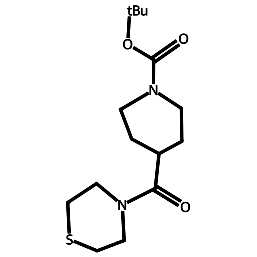 CC(C)(C)OC(=O)N1CCC(C(=O)N2CCSCC2)CC1